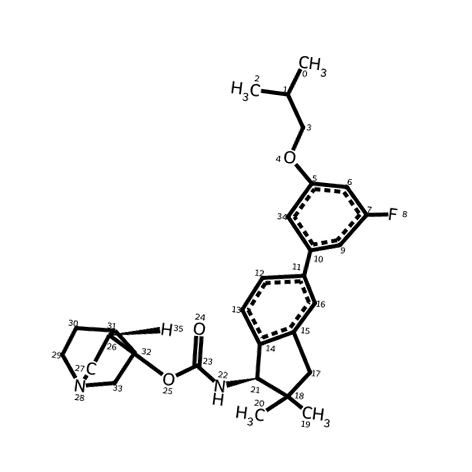 CC(C)COc1cc(F)cc(-c2ccc3c(c2)CC(C)(C)[C@H]3NC(=O)O[C@@H]2CN3CCC2CC3)c1